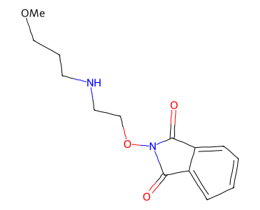 COCCCNCCON1C(=O)c2ccccc2C1=O